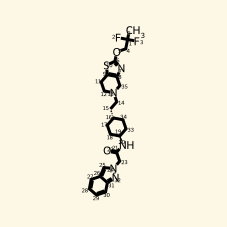 CC(F)(F)COc1nc2c(s1)CCN(CC[C@H]1CC[C@H](NC(=O)Cn3cc4ccccc4n3)CC1)C2